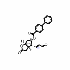 O=C/C=C/[C@@H]1[C@H]2CC(=O)O[C@H]2C[C@H]1OC(=O)c1ccc(-c2ccccc2)cc1